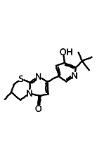 CC1CSc2nc(-c3cnc(C(C)(C)C)c(O)c3)cc(=O)n2C1